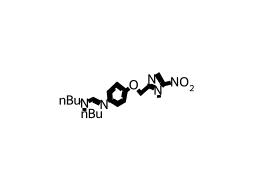 CCCCN(C=Nc1ccc(OCc2ncc([N+](=O)[O-])n2C)cc1)CCCC